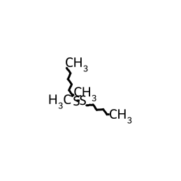 CCCCCCSSC(C)(C)CCCCCC